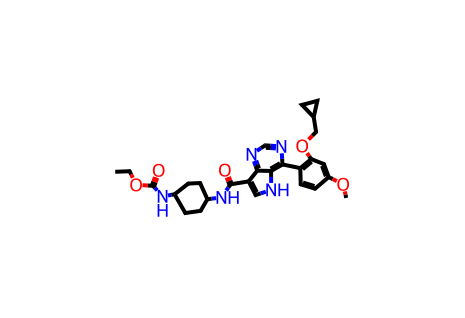 CCOC(=O)NC1CCC(NC(=O)c2c[nH]c3c(-c4ccc(OC)cc4OCC4CC4)ncnc23)CC1